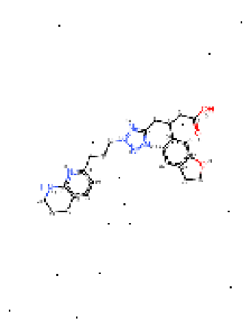 O=C(O)CC(Cc1nnn(CCCc2ccc3c(n2)NCCC3)n1)c1ccc2c(c1)OCC2